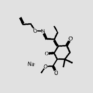 C=CCON=CC(CC)=C1C(=O)CC(C)(C)C(C(=O)OC)C1=O.[Na]